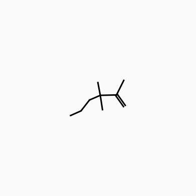 C=C(C)C(C)(C)CCC